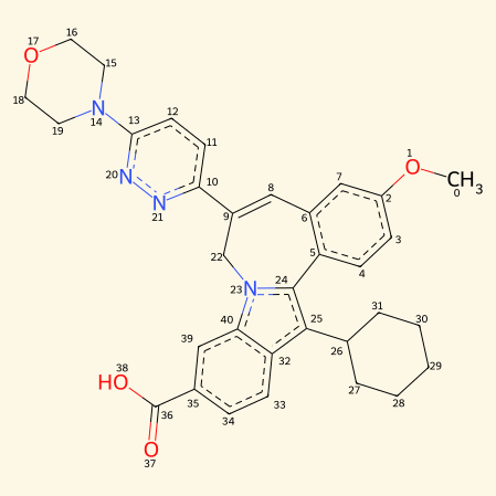 COc1ccc2c(c1)C=C(c1ccc(N3CCOCC3)nn1)Cn1c-2c(C2CCCCC2)c2ccc(C(=O)O)cc21